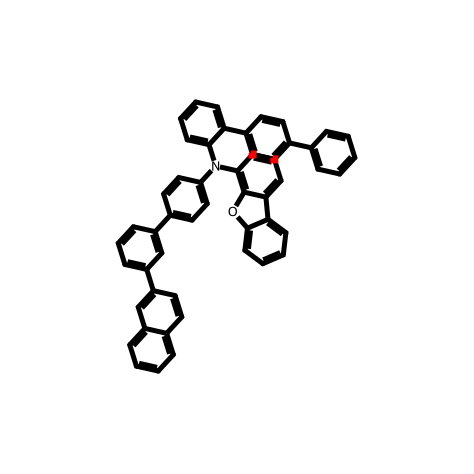 c1ccc(-c2ccc(-c3ccccc3N(c3ccc(-c4cccc(-c5ccc6ccccc6c5)c4)cc3)c3cccc4c3oc3ccccc34)cc2)cc1